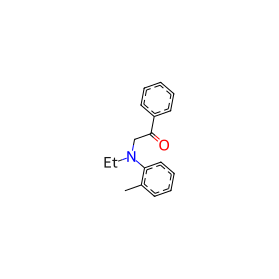 CCN(CC(=O)c1ccccc1)c1ccccc1C